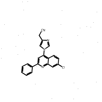 N#CCc1cn(-c2cc(-c3ccccc3)nc3cc(Cl)ccc23)cn1